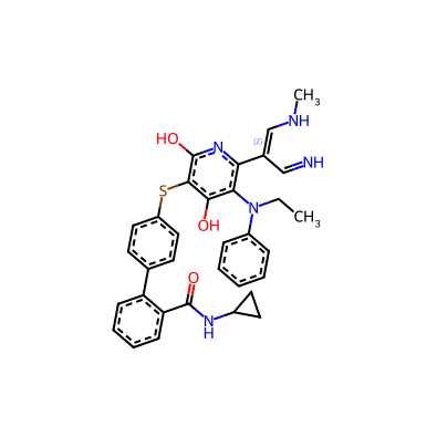 CCN(c1ccccc1)c1c(/C(C=N)=C/NC)nc(O)c(Sc2ccc(-c3ccccc3C(=O)NC3CC3)cc2)c1O